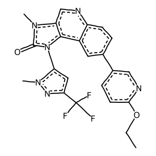 CCOc1ccc(-c2ccc3ncc4c(c3c2)n(-c2cc(C(F)(F)F)nn2C)c(=O)n4C)cn1